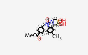 COC(=O)c1ccc(CN(C(=O)N2CCS(O)(O)CC2)c2ccc(C)cc2)cc1